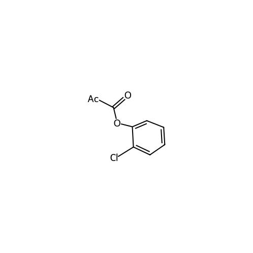 CC(=O)C(=O)Oc1ccccc1Cl